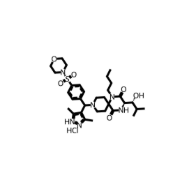 CCCCN1C(=O)[C@@H]([C@H](O)C(C)C)NC(=O)C12CCN(C(c1ccc(S(=O)(=O)N3CCOCC3)cc1)c1c(C)n[nH]c1C)CC2.Cl